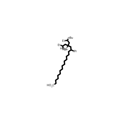 CCCCC(CC)CC(CC(CC)CCCC)(CC(CCCCCCCCCCCCCCC(=O)O)C(C)C)C(=O)O